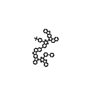 CC(C)(C)c1ccc(-c2nc(-n3c4cc5c(cc4c4c6ccccc6ccc43)sc3ccccc35)nc3ccc(-c4ccc5c(ccc6sc7cc8c9ccccc9n(-c9nc(-c%10cccc(-c%11ccccc%11)c%10)c%10sc%11ccccc%11c%10n9)c8cc7c65)c4)cc23)cc1